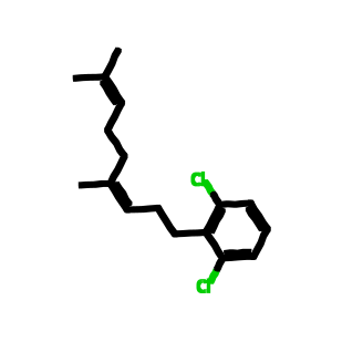 CC(C)=CCCC(C)=CCCc1c(Cl)cccc1Cl